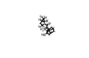 [2H]C1([2H])[C@H]2C[C@@]([2H])(C)N(C(=O)[C@@H](N)C34CC5CC(CC(O)(C5)C3)C4)[C@H]21